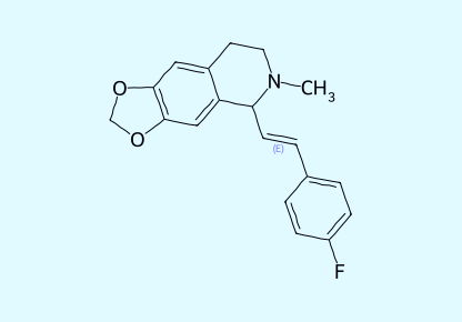 CN1CCc2cc3c(cc2C1/C=C/c1ccc(F)cc1)OCO3